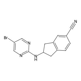 N#Cc1ccc2c(c1)CC(Nc1ncc(Br)cn1)C2